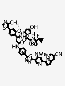 CNc1cc(-c2ccc3cc(C#N)cnn23)ncc1-c1nnc(C23CCC(NC(=O)C[C@H](NC(=O)[C@@H]4C[C@@H](O)CN4C(=O)[C@@H](NC(=O)C4(F)CC4)C(C)(C)C)c4ccc(-c5scnc5C)cc4)(CC2)CC3)s1